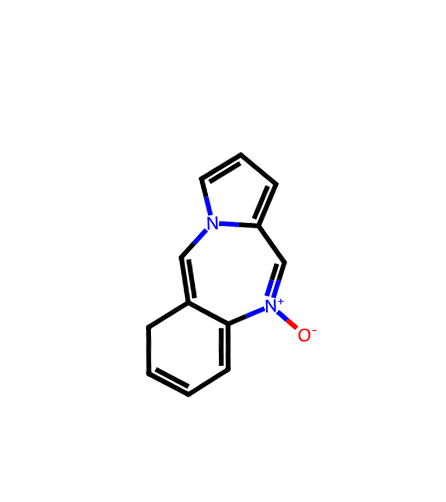 [O-][N+]1=Cc2cccn2C=C2CC=CC=C21